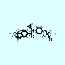 CC(C)(C#N)C[C@H]1CC[C@H](N(C(=O)c2ccc([C@](C)(O)C(F)(F)F)cc2)C2CC2)CC1